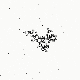 COc1cc(C(=O)N2CCCC(N)C2)cc2nc(-c3cc4cccnc4n3CC3CC3)n(CCS(C)(=O)=O)c12